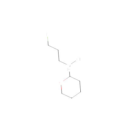 C[SiH](CCCF)C1CCCCO1